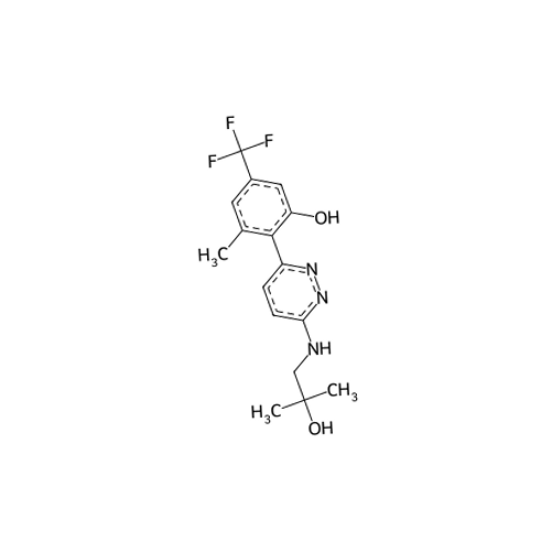 Cc1cc(C(F)(F)F)cc(O)c1-c1ccc(NCC(C)(C)O)nn1